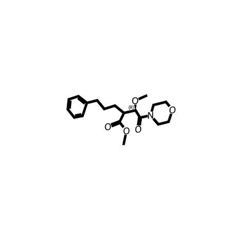 COC(=O)C(CCCc1ccccc1)[C@@H](OC)C(=O)N1CCOCC1